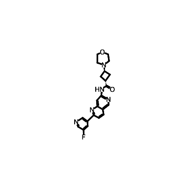 O=C(Nc1cc2nc(-c3cncc(F)c3)ccc2cn1)[C@H]1C[C@H](N2CCOCC2)C1